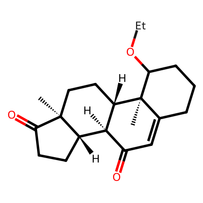 CCOC1CCCC2=CC(=O)[C@H]3[C@@H]4CCC(=O)[C@@]4(C)CC[C@@H]3[C@]21C